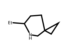 CCC1CCC2(CC2)CN1